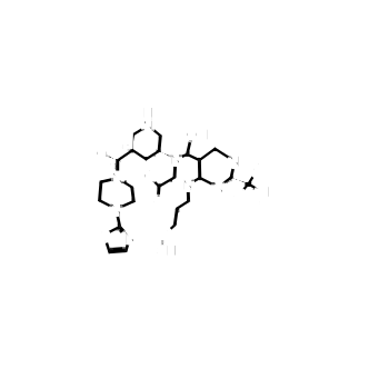 COCCCNC1N[C@H](C(C)(C)C)NCC1C(O)N(CC(C)C)[C@@H]1CNC[C@H]([C@H](O)N2CCN(c3nccs3)CC2)C1